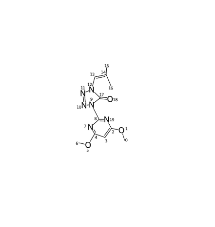 COc1cc(OC)nc(-n2nnn(C=C(C)C)c2=O)n1